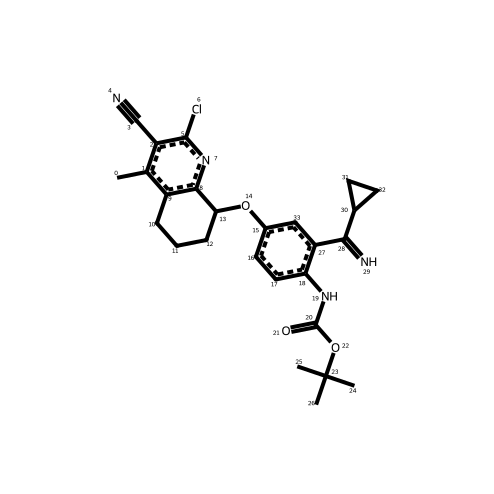 Cc1c(C#N)c(Cl)nc2c1CCCC2Oc1ccc(NC(=O)OC(C)(C)C)c(C(=N)C2CC2)c1